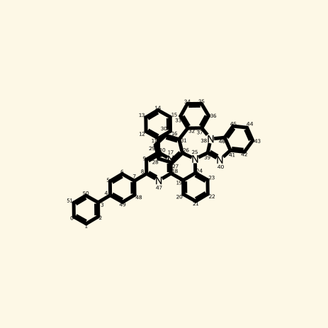 c1ccc(-c2ccc(-c3cc(-c4ccccc4)nc(-c4ccccc4N4c5ccccc5-c5ccccc5-n5c4nc4ccccc45)n3)cc2)cc1